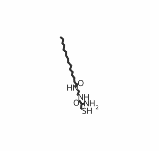 CCCCCCCCCCCCCCCC(=O)NCCNC(=O)C(N)CS